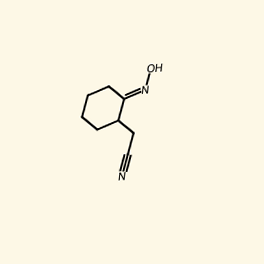 N#CCC1CCCCC1=NO